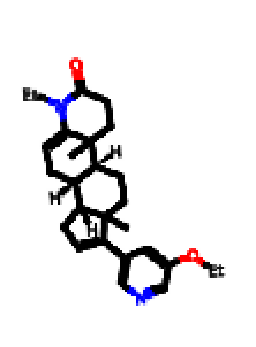 CCOc1cncc(C2=CC[C@@H]3[C@@H]4CC=C5N(CC)C(=O)CCC5(C)[C@H]4CCC23C)c1